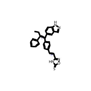 CC/C(=C(/c1ccc(/C=C/c2noc(=S)[nH]2)cc1)c1ccc2[nH]ncc2c1)c1ccccc1